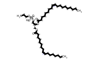 CCCCCCC/C=C\CCCCCCCC(=O)OC[C@H](COP(=O)(O)OCCN)OC(=O)CCCCCCC/C=C\CCCCCCCCC